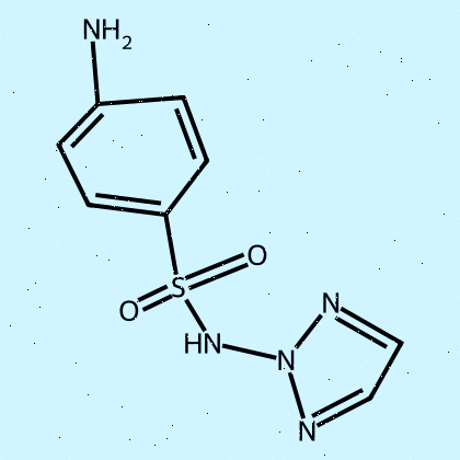 Nc1ccc(S(=O)(=O)Nn2nccn2)cc1